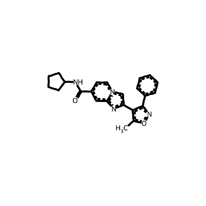 Cc1onc(-c2ccccc2)c1-c1cn2ccc(C(=O)NC3CCCC3)cc2n1